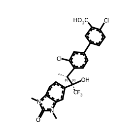 C[C@H](c1ccc(-c2ccc(Cl)c(C(=O)O)c2)cc1Cl)[C@@](O)(c1ccc2c(c1)n(C)c(=O)n2C)C(F)(F)F